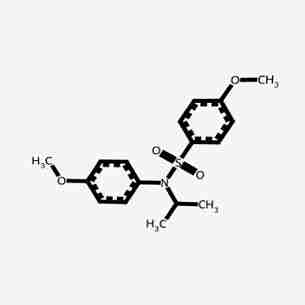 COc1ccc(N(C(C)C)S(=O)(=O)c2ccc(OC)cc2)cc1